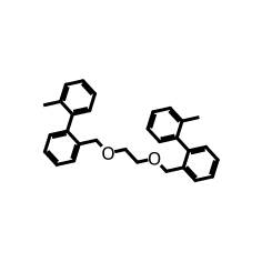 Cc1ccccc1-c1ccccc1COCCOCc1ccccc1-c1ccccc1C